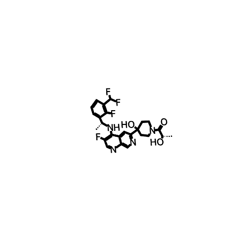 C[C@H](O)C(=O)N1CCC(O)(c2cc3c(N[C@H](C)c4cccc(C(F)F)c4F)c(F)cnc3cn2)CC1